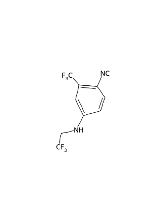 [C-]#[N+]c1ccc(NCC(F)(F)F)cc1C(F)(F)F